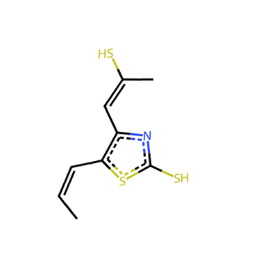 C/C=C\c1sc(S)nc1/C=C(\C)S